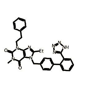 CCc1nc2c(c(=O)n(C)c(=O)n2CCc2ccccc2)n1Cc1ccc(-c2ccccc2-c2nnn[nH]2)cc1